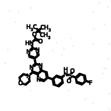 CC(C)(C)OC(=O)Nc1ncc(-c2nc(N3CCOCC3)c3ncc(-c4cccc(NS(=O)(=O)c5ccc(F)cc5)c4)cc3n2)cn1